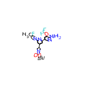 CC1(F)CCN(c2cc(C3CN(C(=O)OC(C)(C)C)C3)cc(-c3cnc(N)c(OC(F)F)c3)n2)C1